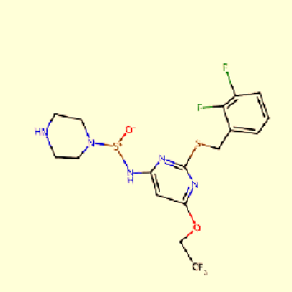 [O-][S+](Nc1cc(OCC(F)(F)F)nc(SCc2cccc(F)c2F)n1)N1CCNCC1